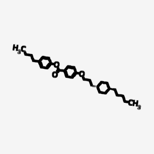 CCCCC[C@H]1CC[C@H](CCCOc2ccc(C(=O)Oc3ccc(CCCC)cc3)cc2)CC1